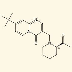 CC(=O)[C@H]1CCCCN1Cc1cnc2cc(C(C)(C)C)ccn2c1=O